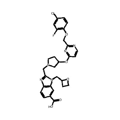 O=C(O)c1ccc2nc(CN3CCC(Oc4ccnc(COc5ccc(Cl)cc5F)n4)C3)n(CC3CCO3)c2c1